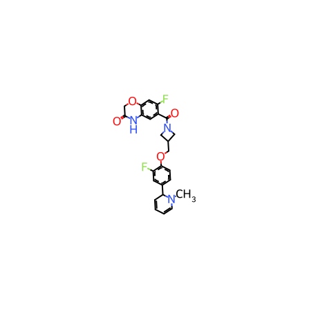 CN1C=CC=CC1c1ccc(OCC2CN(C(=O)c3cc4c(cc3F)OCC(=O)N4)C2)c(F)c1